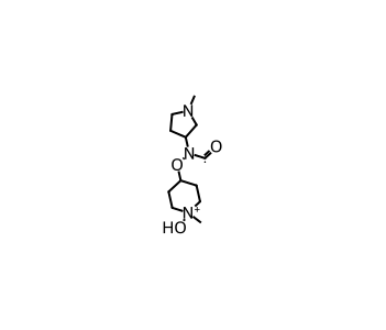 CN1CCC(N([C]=O)OC2CC[N+](C)(O)CC2)C1